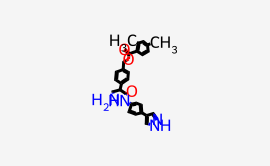 Cc1ccc(C(=O)OCc2ccc(C(CN)C(=O)Nc3ccc(-c4cn[nH]c4)cc3)cc2)c(C)c1